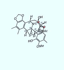 COc1c(C)cc2c(c1O)[C@@H]1[C@@H]3[C@@H]4SC[C@H](NC(C)=O)C(=O)OC[C@@H](c5c6c(c(C)c(C)c54)OCO6)N3[C@@H](O)[C@H](C2)N1C